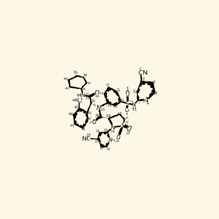 N#Cc1ccnc(NS(=O)(=O)c2cccc(N(C(=O)[C@@H]3CCS(=O)(=O)N3c3cc(C#N)ccn3)[C@@H](C(=O)NC3CCCCC3)c3ccccc3Cl)c2)c1